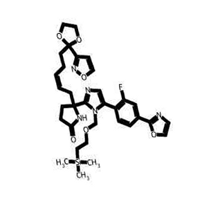 C[Si](C)(C)CCOCn1c(-c2ccc(-c3ncco3)cc2F)cnc1C1(CC=CCCC2(c3ccon3)OCCO2)CCC(=O)N1